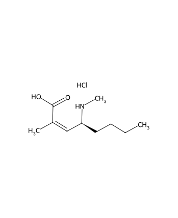 CCCC[C@@H](C=C(C)C(=O)O)NC.Cl